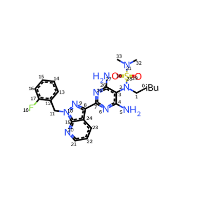 CCC(C)CN(c1c(N)nc(-c2nn(Cc3ccccc3F)c3ncccc23)nc1N)S(=O)(=O)N(C)C